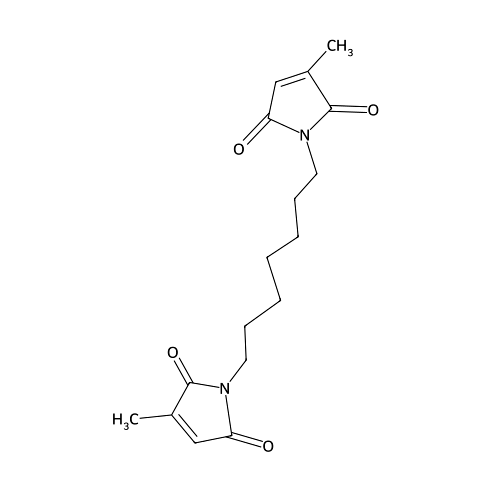 CC1=CC(=O)N(CCCCCCCN2C(=O)C=C(C)C2=O)C1=O